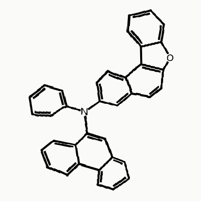 c1ccc(N(c2ccc3c(ccc4oc5ccccc5c43)c2)c2cc3ccccc3c3ccccc23)cc1